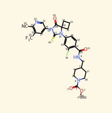 CC(C)(C)OC(=O)N1CCC(CNC(=O)c2ccc(N3C(=S)N(c4cnc(C#N)c(C(F)(F)F)c4)C(=O)C34CCC4)cc2F)CC1